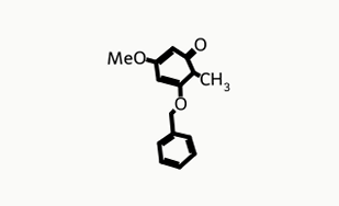 COC1=CC(=O)C(C)C(OCc2ccccc2)=C1